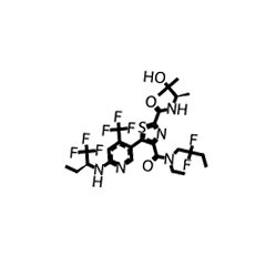 CC[C@H](Nc1cc(C(F)(F)F)c(-c2sc(C(=O)N[C@H](C)C(C)(C)O)nc2C(=O)N(CC)CC(F)(F)CC)cn1)C(F)(F)F